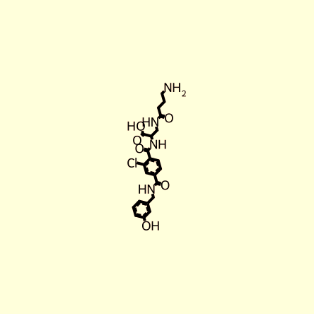 NCCCC(=O)NCC(NC(=O)c1ccc(C(=O)NCc2cccc(O)c2)cc1Cl)C(=O)O